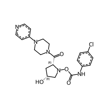 O=C(Nc1ccc(Cl)cc1)ON1C[C@H](O)C[C@@H]1C(=O)N1CCN(c2ccncc2)CC1